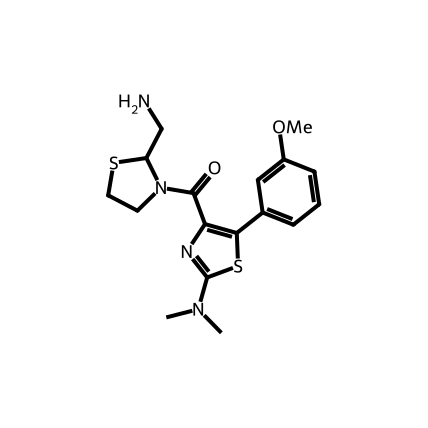 COc1cccc(-c2sc(N(C)C)nc2C(=O)N2CCSC2CN)c1